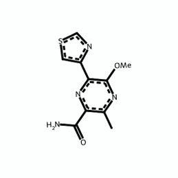 COc1nc(C)c(C(N)=O)nc1-c1cscn1